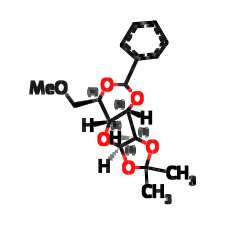 COC[C@H]1OC(c2ccccc2)O[C@@H]2[C@H]3OC(C)(C)O[C@H]3O[C@@H]21